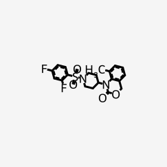 Cc1cccc2c1N(C1CCN(S(=O)(=O)c3ccc(F)cc3F)CC1)C(=O)OC2